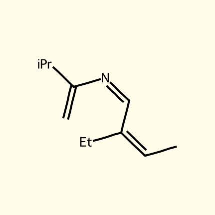 C=C(/N=C\C(=C/C)CC)C(C)C